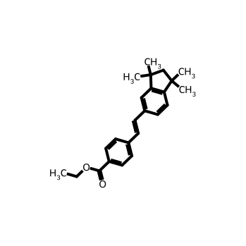 CCOC(=O)c1ccc(/C=C/c2ccc3c(c2)C(C)(C)CC3(C)C)cc1